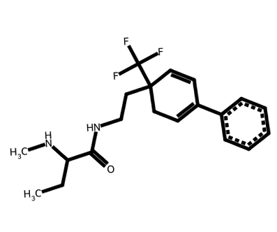 CCC(NC)C(=O)NCCC1(C(F)(F)F)C=CC(c2ccccc2)=CC1